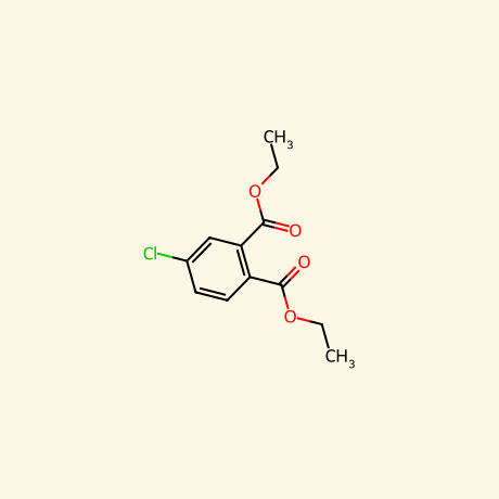 CCOC(=O)c1ccc(Cl)cc1C(=O)OCC